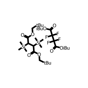 CC(C)(C)COC(=O)C(C(C(=O)OCC(C)(C)C)[Si](C)(C)C)[Si](C)(C)C.CC(C)COC(=O)C(F)(F)C(F)(F)C(=O)OCC(C)C